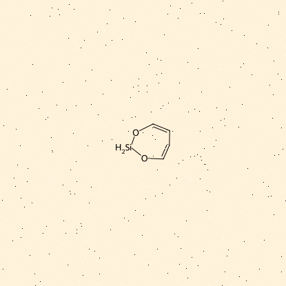 C1=CO[SiH2]OC=C1